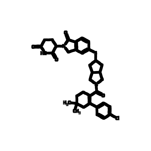 CC1(C)CCC(C(=O)N2CC3CC(Sc4ccc5c(c4)CN(C4CCC(=O)NC4=O)C5=O)CC3C2)=C(c2ccc(Cl)cc2)C1